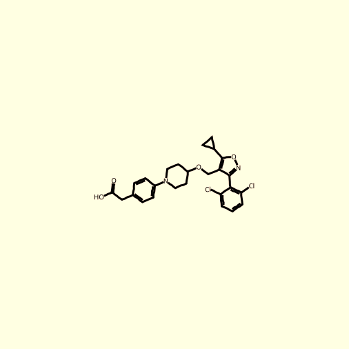 O=C(O)Cc1ccc(N2CCC(OCc3c(-c4c(Cl)cccc4Cl)noc3C3CC3)CC2)cc1